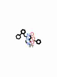 CC(C)N1CCn2c(Cc3ccccc3C3=CCCCC3)nc(=O)c(OCc3ccccc3)c2C1=O